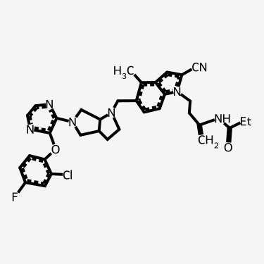 C=C(CCn1c(C#N)cc2c(C)c(CN3CCC4CN(c5nccnc5Oc5ccc(F)cc5Cl)CC43)ccc21)NC(=O)CC